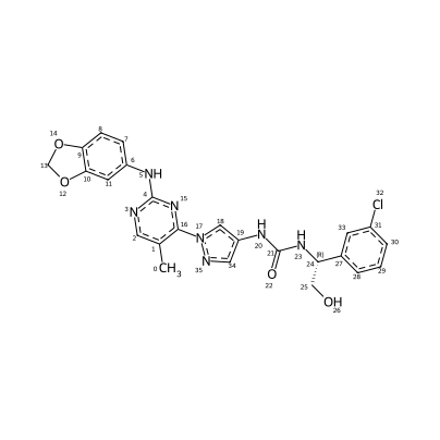 Cc1cnc(Nc2ccc3c(c2)OCO3)nc1-n1cc(NC(=O)N[C@@H](CO)c2cccc(Cl)c2)cn1